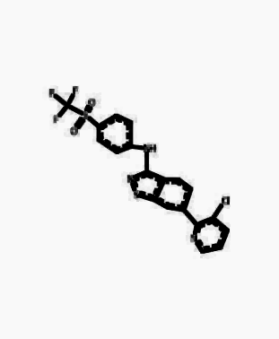 O=S(=O)(c1ccc(Nc2nsc3cc(-c4ncccc4Cl)ccc23)cc1)C(F)(F)F